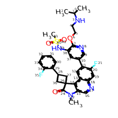 CC(C)NCCOc1ncc(-c2cc3c4c(cnc3cc2F)N(C)C(=O)C42CC(c3ccccc3F)C2)cc1NS(C)(=O)=O